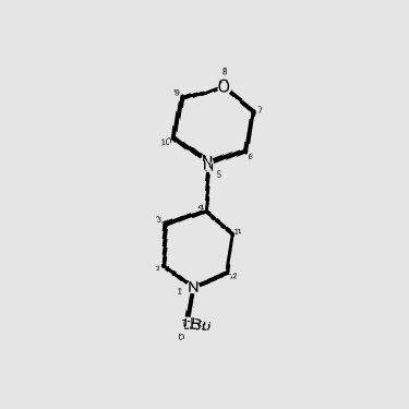 CC(C)(C)N1CCC(N2CCOCC2)CC1